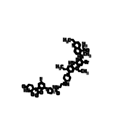 CCOc1cc(N2CCC(NCCNC(=O)[C@@H]3CCN(c4cc(F)cc5c4oc(=O)n5C4CCC(=O)NC4=O)C3)CC2)c(CC)cc1Nc1ncc(Br)c(Nc2ccc3nc(CC)ccc3c2P(C)(C)=O)n1